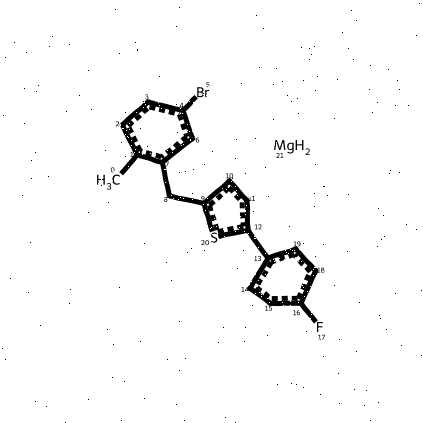 Cc1ccc(Br)cc1Cc1ccc(-c2ccc(F)cc2)s1.[MgH2]